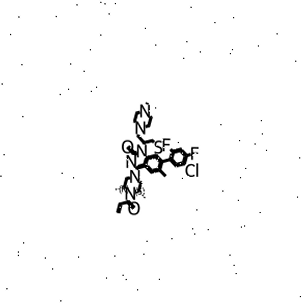 C=CC(=O)N1[C@H](C)CN(c2nc(=O)n3c4c(c(-c5cc(Cl)c(F)cc5F)c(C)cc24)SCC3CN2CCN(C)CC2)C[C@@H]1C